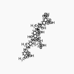 COc1ccc2nc(N=Nc3cc(OCCCS(=O)(=O)O)c(N=Nc4c(S(=O)(=O)O)cc5c(S(=O)(=O)O)c(N=Nc6c(C)nn(-c7ccc8c(S(=O)(=O)O)cc(S(=O)(=O)O)cc8c7)c6O)ccc5c4O)cc3C)sc2c1S(=O)(=O)O